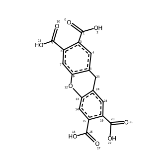 O=C(O)c1cc2c(cc1C(=O)O)Oc1cc(C(=O)O)c(C(=O)O)cc1C2